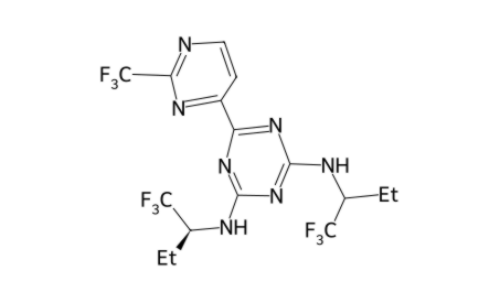 CCC(Nc1nc(N[C@@H](CC)C(F)(F)F)nc(-c2ccnc(C(F)(F)F)n2)n1)C(F)(F)F